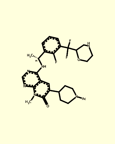 CC(=O)N1CCC(c2cc3c(N[C@H](C)c4cccc(C(F)(F)C5CNCCO5)c4F)ncnc3n(C)c2=O)CC1